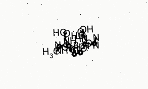 CNc1cncc(COc2nc(OCc3cccc(-c4cccc(COc5nc(OCc6cncc(C#N)c6)c(CNC[C@@H](O)CC(=O)O)cc5Br)c4Cl)c3Cl)ccc2CNCCCC(=O)O)c1